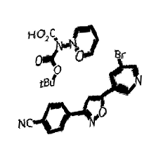 CC(C)(C)OC(=O)N(C(=O)O)N1C=CC=CO1.N#Cc1ccc(-c2cc(-c3cncc(Br)c3)on2)cc1